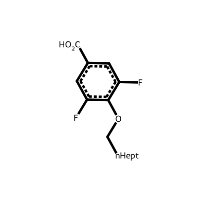 CCCCCCCCOc1c(F)cc(C(=O)O)cc1F